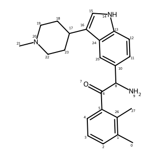 Cc1cccc(C(=O)C(N)c2ccc3[nH]cc(C4CCN(C)CC4)c3c2)c1C